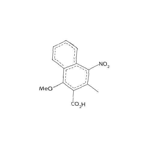 COc1c(C(=O)O)c(C)c([N+](=O)[O-])c2ccccc12